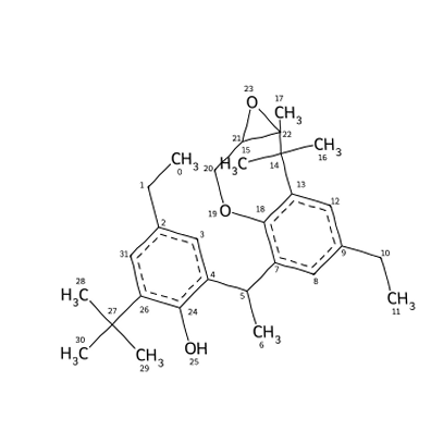 CCc1cc(C(C)c2cc(CC)cc(C(C)(C)C)c2OCC2CO2)c(O)c(C(C)(C)C)c1